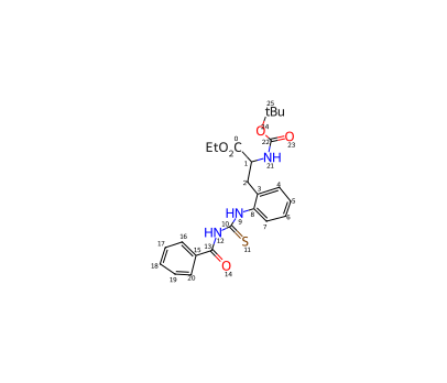 CCOC(=O)C(Cc1ccccc1NC(=S)NC(=O)c1ccccc1)NC(=O)OC(C)(C)C